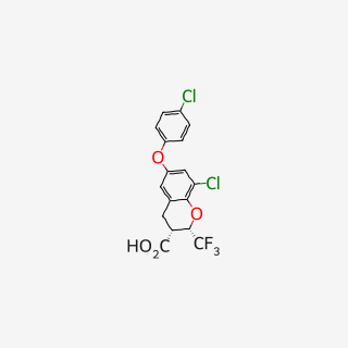 O=C(O)[C@@H]1Cc2cc(Oc3ccc(Cl)cc3)cc(Cl)c2O[C@@H]1C(F)(F)F